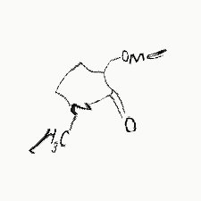 COC1CCN(C)C1=O